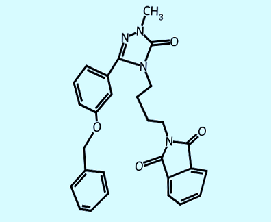 Cn1nc(-c2cccc(OCc3ccccc3)c2)n(CCCCN2C(=O)c3ccccc3C2=O)c1=O